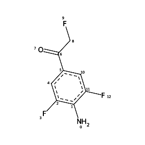 Nc1c(F)cc(C(=O)CF)cc1F